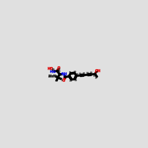 CNC(C)(C)C(NC(=O)c1ccc(C#CC#CC(C)O)cc1)C(=O)NO